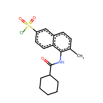 Cc1ccc2cc(S(=O)(=O)Cl)ccc2c1NC(=O)C1CCCCC1